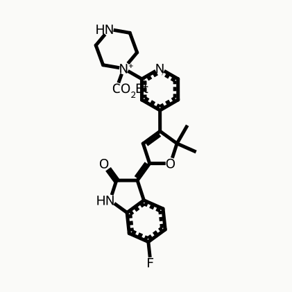 CCOC(=O)[N+]1(c2cc(C3=C/C(=C4\C(=O)Nc5cc(F)ccc54)OC3(C)C)ccn2)CCNCC1